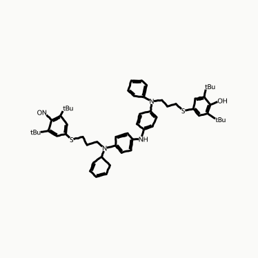 CC(C)(C)c1cc(SCCCN(c2ccccc2)c2ccc(Nc3ccc(N(CCCSc4cc(C(C)(C)C)c(N=O)c(C(C)(C)C)c4)C4C=CC=CC4)cc3)cc2)cc(C(C)(C)C)c1O